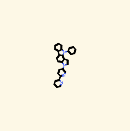 c1ccc(-n2c3ccccc3c3ccc4c(ccn4-c4ccc(-c5ccccn5)nc4)c32)cc1